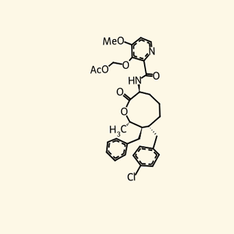 COc1ccnc(C(=O)N[C@H]2CCC[C@H](Cc3ccc(Cl)cc3)[C@@H](Cc3ccccc3)[C@H](C)OC2=O)c1OCOC(C)=O